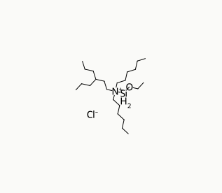 CCCCCC[N+](CCCCCC)(CCC(CCC)CCC)[SiH2]OCC.[Cl-]